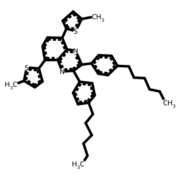 CCCCCCc1ccc(-c2nc3c(-c4ccc(C)s4)ccc(-c4ccc(C)s4)c3nc2-c2ccc(CCCCCC)cc2)cc1